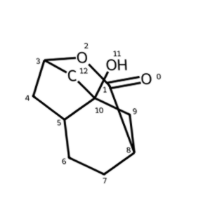 O=C1OC2CC3CCC1CC3(O)C2